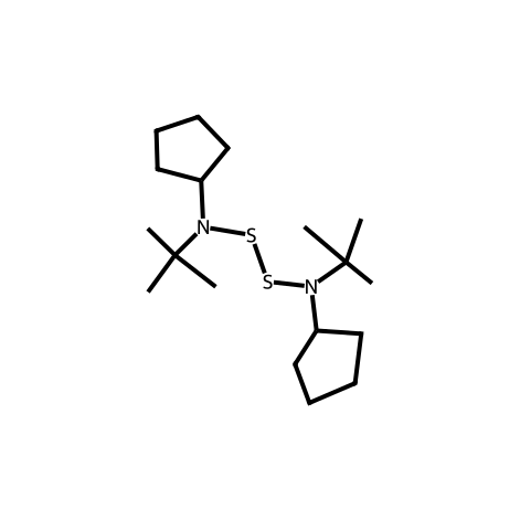 CC(C)(C)N(SSN(C1CCCC1)C(C)(C)C)C1CCCC1